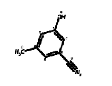 Cc1cc(O)[c]c(C#N)c1